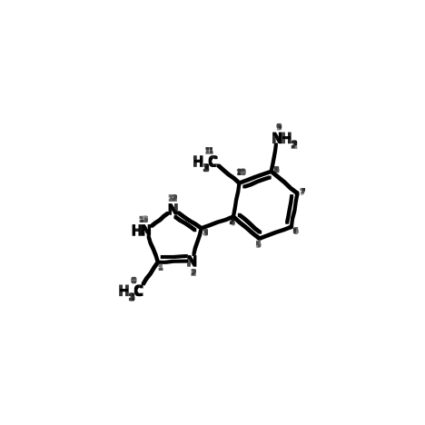 Cc1nc(-c2cccc(N)c2C)n[nH]1